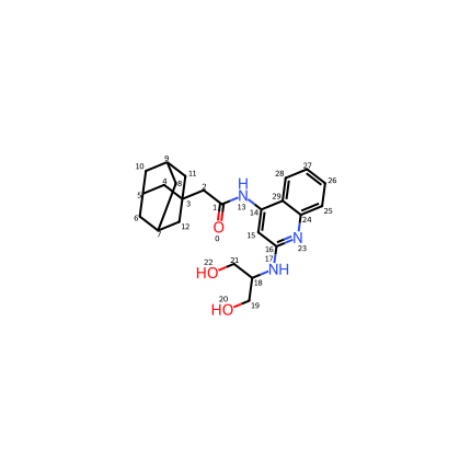 O=C(CC12CC3CC(CC(C3)C1)C2)Nc1cc(NC(CO)CO)nc2ccccc12